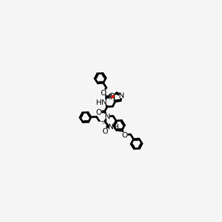 NC(=O)[C@H](CCc1ccccc1)N(Cc1ccc(OCc2ccccc2)cc1)C(=O)C(Cc1cnc[nH]1)NC(=O)OCc1ccccc1